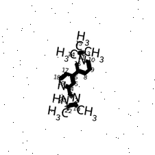 Cc1nc(-c2cc(C3=CC=CN(C(C)(C)C)C3)ccn2)[nH]c1C